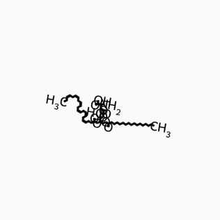 CC/C=C\C/C=C\C/C=C\C/C=C\C/C=C\C/C=C\CCC(=O)OC(COC(=O)CCCCCCCCCCCCCCCC)COP(=O)(O)OCC(N)C(=O)O